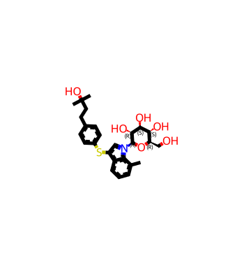 Cc1cccc2c(Sc3ccc(CCC(C)(C)O)cc3)cn([C@@H]3O[C@H](CO)[C@@H](O)[C@H](O)[C@H]3O)c12